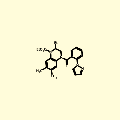 CCOC(=O)N1c2cc(C)c(C)cc2N(C(=O)c2ccccc2-n2cccn2)CC1CC